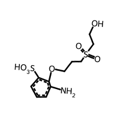 Nc1cccc(S(=O)(=O)O)c1OCCCS(=O)(=O)CCO